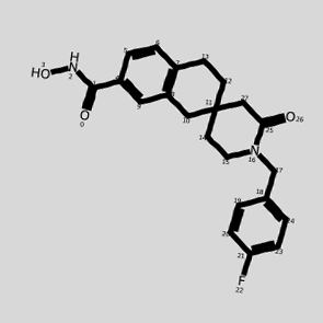 O=C(NO)c1ccc2c(c1)CC1(CC2)CCN(Cc2ccc(F)cc2)C(=O)C1